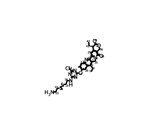 CCc1c2c(nc3ccc(Oc4nc(Cl)nc(NCCSSCCN)n4)cc13)-c1cc3c(c(=O)n1C2)COC(=O)[C@@H]3CC